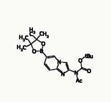 CC(=O)N(C(=O)OC(C)(C)C)c1cn2cc(B3OC(C)(C)C(C)(C)O3)ccc2n1